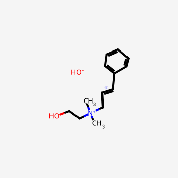 C[N+](C)(C/C=C/c1ccccc1)CCO.[OH-]